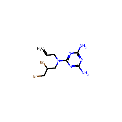 C=CCN(CC(Br)CBr)c1nc(N)nc(N)n1